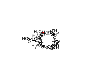 C=C1C[C@@H]2CCC34CCOC[C@H](O3)[C@@H]3C[C@@H](O4)[C@@H]4O[C@H](CC[C@@H]4O3)CC(=O)C[C@@H]3[C@H](OC)[C@@H](C[C@H](O)CNC(=O)CO)O[C@H]3C[C@H]3O[C@@H](CC[C@@H]1O2)C[C@H](C)C3=C